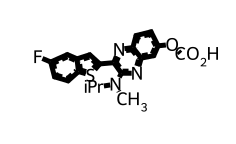 CC(C)N(C)c1nc2cc(OC(=O)O)ccc2nc1-c1cc2cc(F)ccc2s1